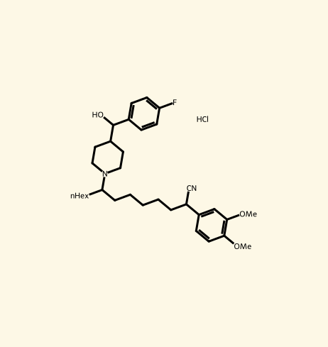 CCCCCCC(CCCCCC(C#N)c1ccc(OC)c(OC)c1)N1CCC(C(O)c2ccc(F)cc2)CC1.Cl